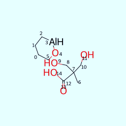 C1C[CH2][AlH][O]C1.CC(CO)(CO)C(=O)O